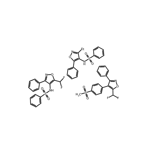 CCc1noc(-c2ccccc2)c1NS(=O)(=O)c1ccccc1.CS(=O)(=O)c1ccc(-c2c(-c3ccccc3)noc2C(F)F)cc1.O=S(=O)(Nc1c(-c2ccccc2)noc1C(F)F)c1ccccc1